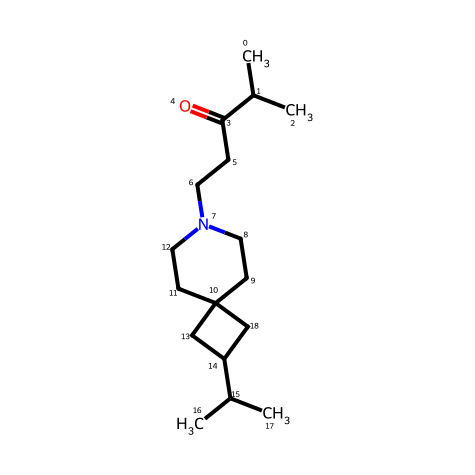 CC(C)C(=O)CCN1CCC2(CC1)CC(C(C)C)C2